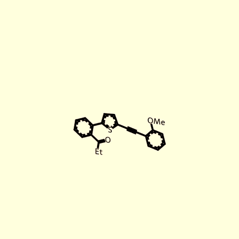 CCC(=O)c1ccccc1-c1ccc(C#Cc2ccccc2OC)s1